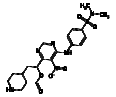 CN(C)S(=O)(=O)c1ccc(Nc2ncnc(C(CC3CCNCC3)OC=O)c2[N+](=O)[O-])cc1